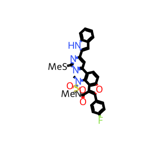 CNC(=O)c1c(-c2ccc(F)cc2)oc2ccc(-c3cc(-c4cc5ccccc5[nH]4)nc(SC)n3)c(N(C)S(C)(=O)=O)c12